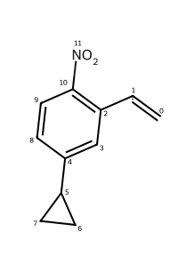 C=[C]c1cc(C2CC2)ccc1[N+](=O)[O-]